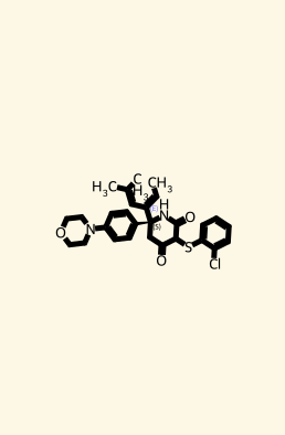 C/C=C(\C=C(C)C)[C@@]1(c2ccc(N3CCOCC3)cc2)CC(=O)C(Sc2ccccc2Cl)C(=O)N1